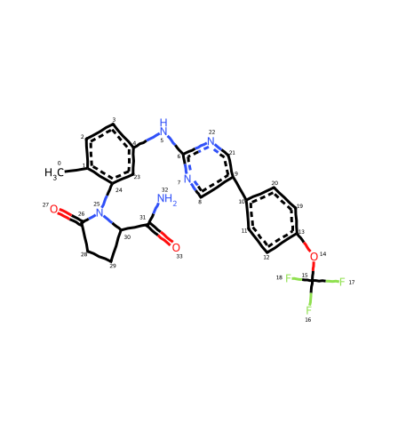 Cc1ccc(Nc2ncc(-c3ccc(OC(F)(F)F)cc3)cn2)cc1N1C(=O)CCC1C(N)=O